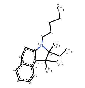 CCCCCN1c2ccc3ccccc3c2C(C)(C)C1(C)CC